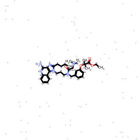 CCCCc1nc2c(N)nc3ccccc3c2n1CCCN(Cc1cccc(OC(C)(C)C(=O)OCC)c1)C(=O)CN(C)C